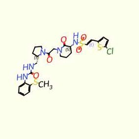 CSc1ccccc1NC(=O)NC[C@@H]1CCCN1C(=O)CN1CCC[C@H](NS(=O)(=O)/C=C/c2ccc(Cl)s2)C1=O